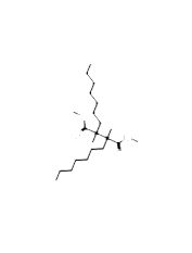 CCCCCCCC(C)(C(=O)OC)C(C)(CCCCCCC)C(=O)OC